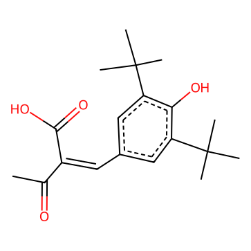 CC(=O)C(=Cc1cc(C(C)(C)C)c(O)c(C(C)(C)C)c1)C(=O)O